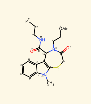 COCCN1C(=O)CSc2c(c3ccccc3n2C)C1C(=O)NCCC(C)C